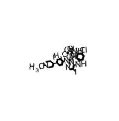 CN1CCC(c2ccc(Nc3ncc(I)c(Nc4ccc(Cl)c(NS(=O)(=O)C(C)(C)C)c4)n3)cc2F)CC1